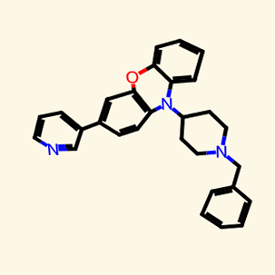 c1ccc(CN2CCC(N3c4ccccc4Oc4cc(-c5cccnc5)ccc43)CC2)cc1